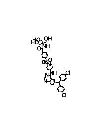 O=C(NC(CO)(CO)CO)c1ccc(S(=O)(=O)N2CCC(Nc3ncnc4ccc(C(c5ccc(Cl)cc5)c5ccc(Cl)cc5)cc34)CC2)cc1